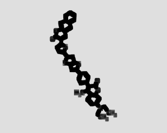 CCN(CC)c1ccc2c(C)c(-c3ccc(-c4cc5sc(-c6ccc(-c7cc8cc9ccccc9cc8oc7=O)s6)cc5s4)cc3)c(=O)oc2c1